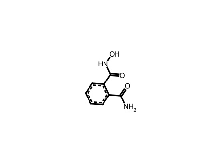 NC(=O)c1ccccc1C(=O)NO